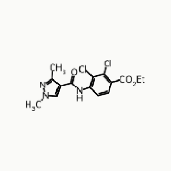 CCOC(=O)c1ccc(NC(=O)c2cn(C)nc2C)c(Cl)c1Cl